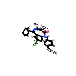 CCCC1(C)N=C(c2ccccc2)c2cc(Cl)ccc2N(Cc2ccc(OC)cc2)C1=O